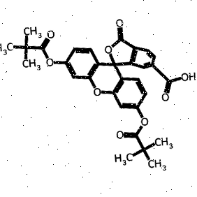 CC(C)(C)C(=O)Oc1ccc2c(c1)Oc1cc(OC(=O)C(C)(C)C)ccc1C21OC(=O)c2ccc(C(=O)O)cc21